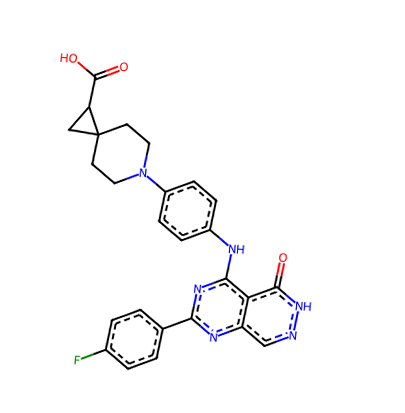 O=C(O)C1CC12CCN(c1ccc(Nc3nc(-c4ccc(F)cc4)nc4cn[nH]c(=O)c34)cc1)CC2